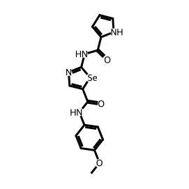 COc1ccc(NC(=O)c2cnc(NC(=O)c3ccc[nH]3)[se]2)cc1